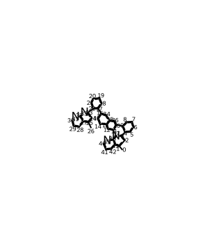 Cc1cc(-c2ccccc2-c2ccc3ccc(-c4ccccc4-c4cc(C)c5cccnc5n4)cc3c2)nc2ncccc12